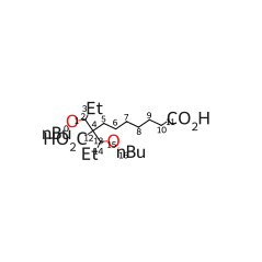 CCCCOC(CC)C(CCCCCCC(=O)O)(C(=O)O)C(CC)OCCCC